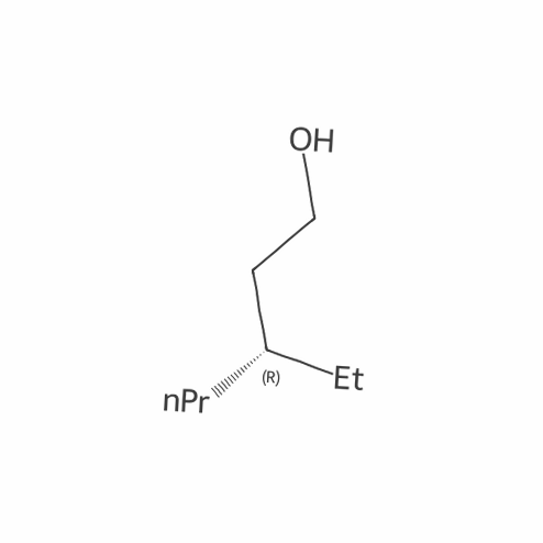 CCC[C@@H](CC)CCO